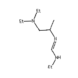 CCN/C=N/C(C)CN(CC)CC